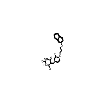 O=C1NC(=O)C(=Cc2ccc(OCCCOc3ccc4ccccc4c3)c(Cl)c2)C(=O)N1